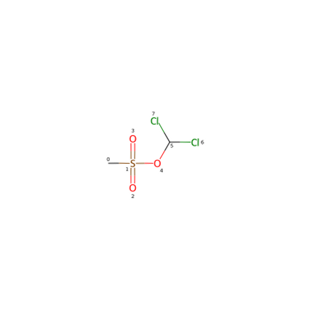 CS(=O)(=O)OC(Cl)Cl